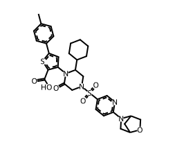 Cc1ccc(-c2cc(N3C(=O)CN(S(=O)(=O)c4ccc(N5CC6CC5CO6)nc4)CC3C3CCCCC3)c(C(=O)O)s2)cc1